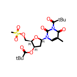 Cc1cn([C@H]2C[C@@H](OC(=O)C(C)(C)C)[C@@H](COS(C)(=O)=O)O2)c(=O)n(C(=O)C(C)(C)C)c1=O